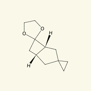 C1COC2(C[C@H]3CC4(CC4)C[C@H]32)O1